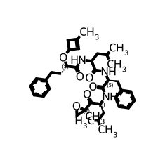 CC1=CC(O[C@@H](CCc2ccccc2)C(=O)NC(CC(C)C)C(=O)N[C@@H](Cc2ccccc2)C(=O)N[C@@H](CC(C)C)C(=O)[C@@]2(C)CO2)C1